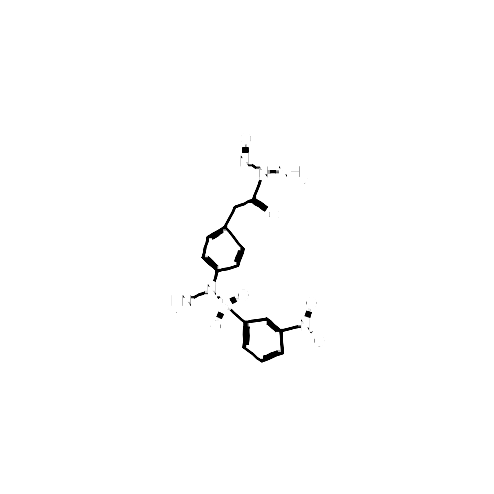 NN(N=O)C(=O)Cc1ccc(N(N)S(=O)(=O)c2cccc([N+](=O)[O-])c2)cc1